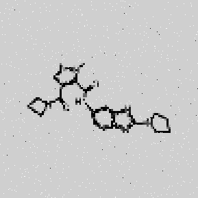 Cn1ncc(C(=O)N2CCC2)c1C(=O)Nc1ccn2nc(N3CCCC3)nc2c1